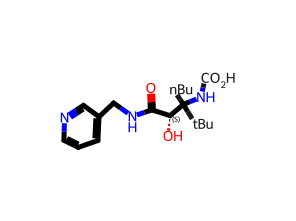 CCCCC(NC(=O)O)([C@H](O)C(=O)NCc1cccnc1)C(C)(C)C